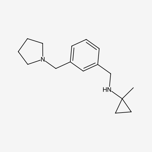 CC1(NCc2cccc(CN3CCCC3)c2)CC1